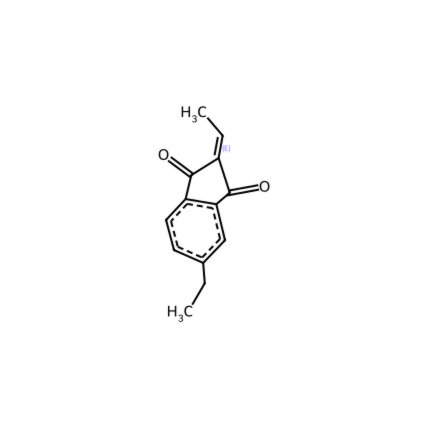 C/C=C1\C(=O)c2ccc(CC)cc2C1=O